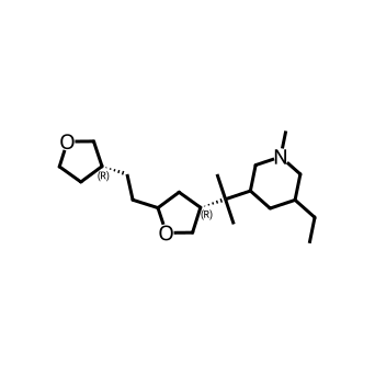 CCC1CC(C(C)(C)[C@@H]2COC(CC[C@@H]3CCOC3)C2)CN(C)C1